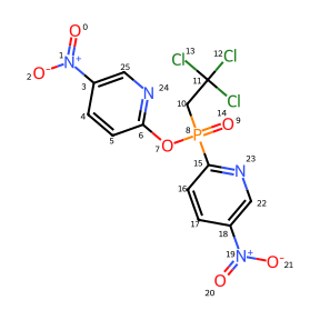 O=[N+]([O-])c1ccc(OP(=O)(CC(Cl)(Cl)Cl)c2ccc([N+](=O)[O-])cn2)nc1